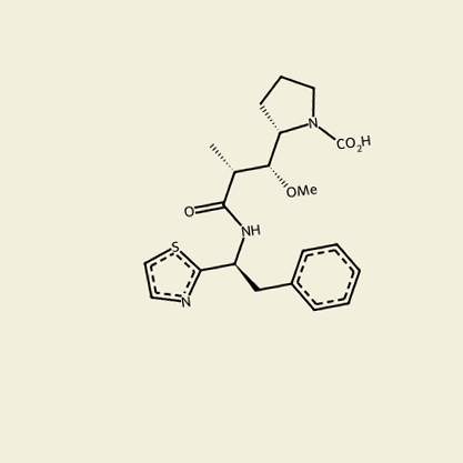 CO[C@H]([C@@H](C)C(=O)N[C@@H](Cc1ccccc1)c1nccs1)[C@@H]1CCCN1C(=O)O